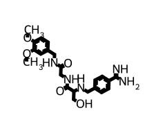 COc1ccc(CNC(=O)CNC(=O)C(CO)NCc2ccc(C(=N)N)cc2)cc1OC